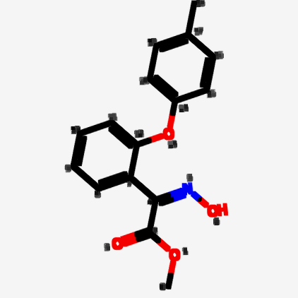 COC(=O)C(=NO)c1ccccc1Oc1ccc(C)cc1